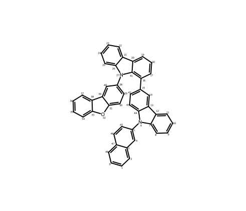 c1ccc2cc(-n3c4ccccc4c4cc(-c5cccc6c7ccccc7n(-c7ccc8oc9ccccc9c8c7)c56)ccc43)ccc2c1